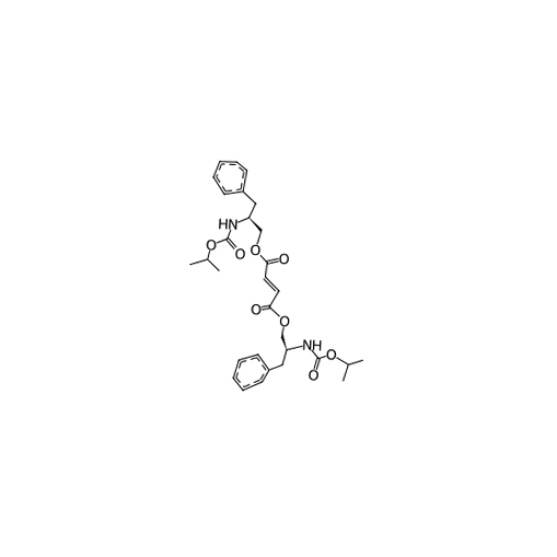 CC(C)OC(=O)N[C@H](COC(=O)/C=C/C(=O)OC[C@H](Cc1ccccc1)NC(=O)OC(C)C)Cc1ccccc1